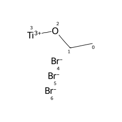 CC[O][Ti+3].[Br-].[Br-].[Br-]